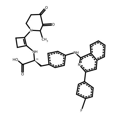 CC1C(=O)C(=O)CCN1C1=C(N[C@@H](Cc2ccc(Nc3nc(-c4ccc(F)cc4)cc4ccccc34)cc2)C(=O)O)CC1